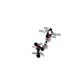 CCCN1/C(=C/C=C2\CCCC(/C=C/C3=[N+](CCC)c4ccccc4C3(C)C)=C2Oc2ccc(NC(=S)NCCOCCNC(=S)Nc3ccc(CC4CN(CC(=O)O)CCN(CC(=O)O)CCN(COC=O)CCN4COC=O)cc3)cc2)C(C)(C)c2ccccc21